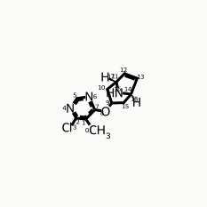 Cc1c(Cl)ncnc1OC1C[C@@H]2C=C[C@@H](C1)N2